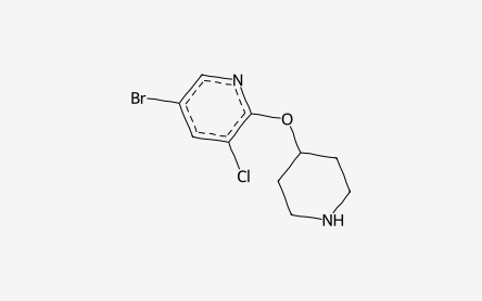 Clc1cc(Br)cnc1OC1CCNCC1